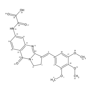 COc1cc(C=C2CCn3c2nc2cc(NC(=O)C(=O)O)ccc2c3=O)cc(OC)c1OC